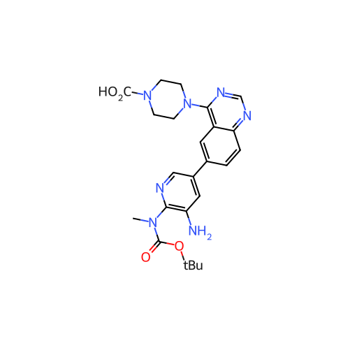 CN(C(=O)OC(C)(C)C)c1ncc(-c2ccc3ncnc(N4CCN(C(=O)O)CC4)c3c2)cc1N